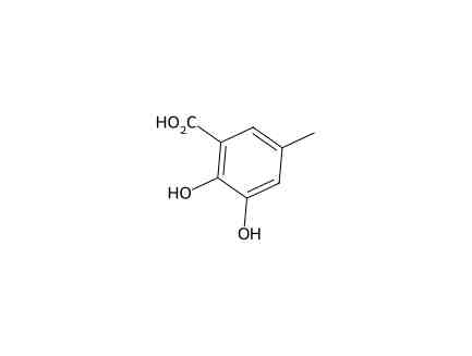 Cc1cc(O)c(O)c(C(=O)O)c1